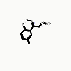 N/N=C(/C=N/O)c1cc(F)ccc1F